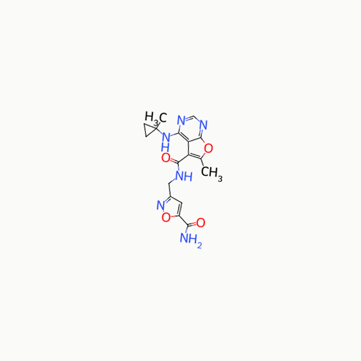 Cc1oc2ncnc(NC3(C)CC3)c2c1C(=O)NCc1cc(C(N)=O)on1